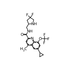 Cc1cc(C(=O)NCC2CC(F)(F)CN2)nc2c(OC(F)(F)F)cc(C3CC3)cc12